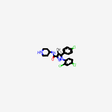 Cc1c(C(=O)NC2CCNCC2)nn(-c2ccc(Cl)cc2Cl)c1-c1ccc(Cl)cc1